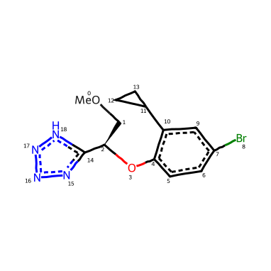 COC[C@@H](Oc1ccc(Br)cc1C1CC1)c1nnn[nH]1